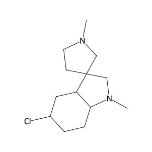 CN1CCC2(C1)CN(C)C1CCC(Cl)CC12